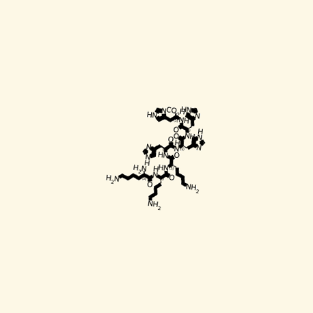 NCCCC[C@H](NC(=O)[C@H](CCCCN)NC(=O)[C@@H](N)CCCCN)C(=O)N[C@@H](Cc1c[nH]cn1)C(=O)N[C@@H](Cc1c[nH]cn1)C(=O)N[C@@H](Cc1c[nH]cn1)C(=O)N[C@@H](Cc1c[nH]cn1)C(=O)O